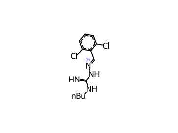 CCCCNC(=N)N/N=C/c1c(Cl)cccc1Cl